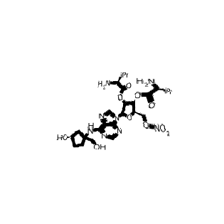 CC(C)[C@H](N)C(=O)OC1C(n2cnc3c(NC4(CO)CC[C@H](O)C4)ncnc32)O[C@H](CO[N+](=O)[O-])[C@H]1OC(=O)[C@@H](N)C(C)C